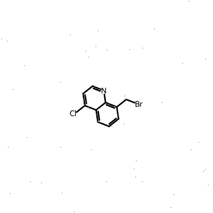 Clc1ccnc2c(CBr)cccc12